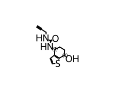 C#CCNC(=O)N[C@@H]1CC[C@@H](O)c2sccc21